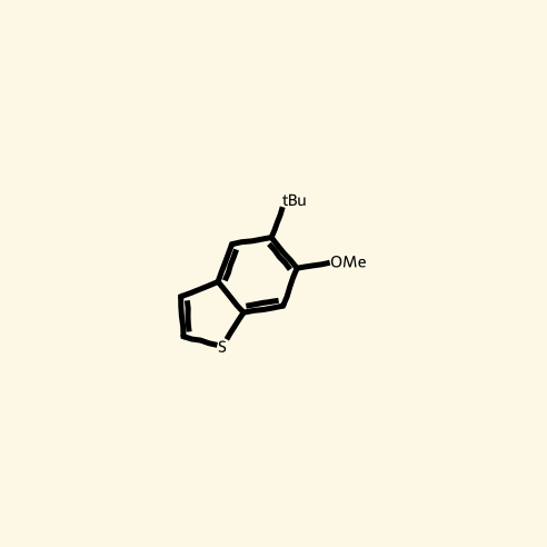 COc1cc2sccc2cc1C(C)(C)C